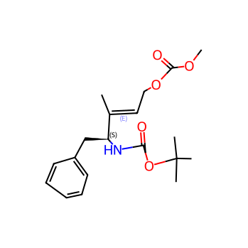 COC(=O)OC/C=C(\C)[C@H](Cc1ccccc1)NC(=O)OC(C)(C)C